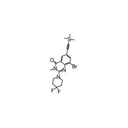 Cn1c(N2CCC(F)(F)CC2)nc2c(Br)cc(C#C[Si](C)(C)C)cc2c1=O